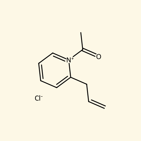 C=CCc1cccc[n+]1C(C)=O.[Cl-]